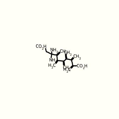 C=C(C(=C)C(=C)C(=C)C(N)(N)CC(=O)O)C(=C)C(=C)C(=O)O